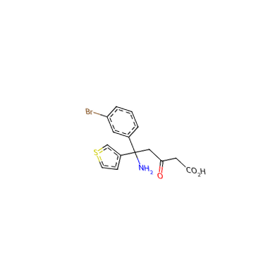 NC(CC(=O)CC(=O)O)(c1ccsc1)c1cccc(Br)c1